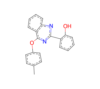 Cc1ccc(Oc2nc(-c3ccccc3O)nc3ccccc23)cc1